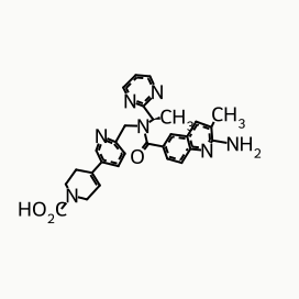 Cc1cc2cc(C(=O)N(Cc3ccc(C4=CCN(C(=O)O)CC4)cn3)[C@H](C)c3ncccn3)ccc2nc1N